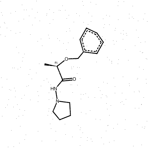 C[C@@H](OCc1ccccc1)C(=O)NN1CCCC1